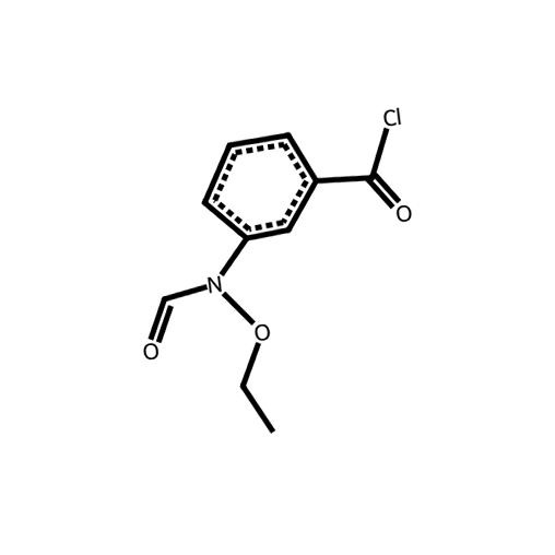 CCON(C=O)c1cccc(C(=O)Cl)c1